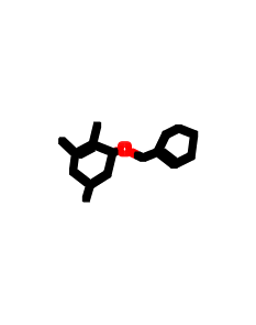 CC1=C(C)C(OCC2=CCCCC2)CC(C)C1